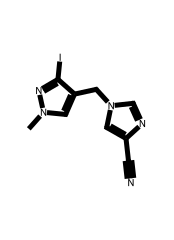 Cn1cc(Cn2cnc(C#N)c2)c(I)n1